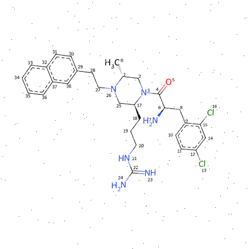 C[C@@H]1CN(C(=O)[C@H](N)Cc2ccc(Cl)cc2Cl)[C@@H](CCCNC(=N)N)CN1CCc1ccc2ccccc2c1